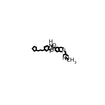 Cn1cc(CN2CCc3cc(S(=O)(=O)Nc4ccc(CCCC5CCCC5)cc4F)ccc3C2)cn1